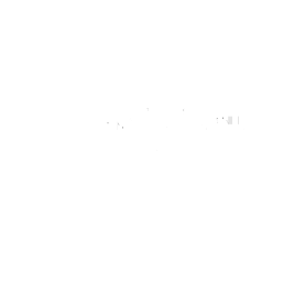 CCCc1cc(CON)on1